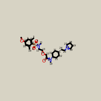 COc1cc(C)c(S(=O)(=O)N(C)CCOCC(=O)N(C)[C@H]2CC[C@@H](CCN3CCCC3)CC2)c(C)c1